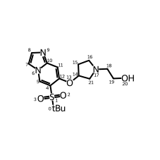 CC(C)(C)S(=O)(=O)c1cn2ccnc2cc1OC1CCN(CCO)C1